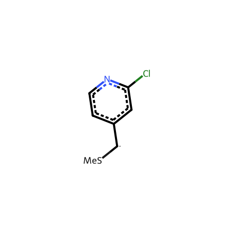 CS[CH]c1ccnc(Cl)c1